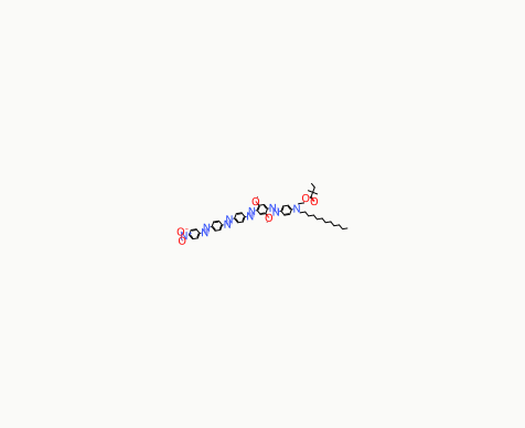 CCCCCCCCCCCCN(CCOC(=O)C(C)(C)CC)c1ccc(/N=N/c2cc(OC)c(/N=N/c3ccc(/N=N/c4ccc(/N=N/c5ccc([N+](=O)[O-])cc5)cc4)cc3)cc2OC)cc1